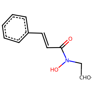 O=[C]CN(O)C(=O)C=Cc1ccccc1